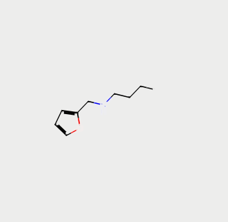 O=S(=O)(O)CCCNCc1ccco1